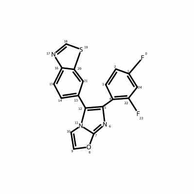 Fc1ccc(-c2nc3occn3c2-c2ccc3ncsc3c2)c(F)c1